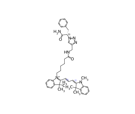 CN1/C(=C/C=C/C2=[N+](CCCCCC(=O)NCc3cn([C@@H](Cc4ccccc4)C(N)=O)nn3)c3ccccc3C2(C)C)C(C)(C)c2ccccc21